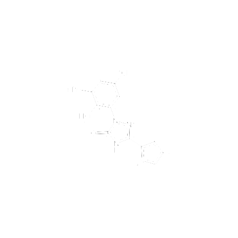 CCCc1cc(Cl)cc(-n2nc(-c3cccs3)[nH]c2=O)c1O